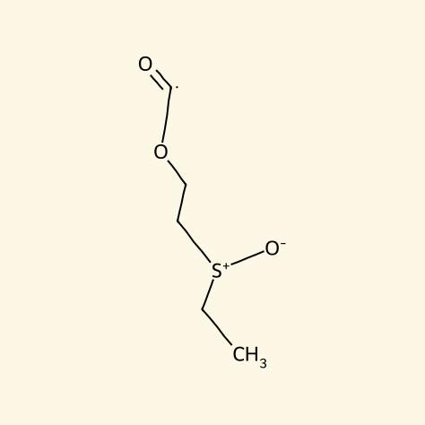 CC[S+]([O-])CCO[C]=O